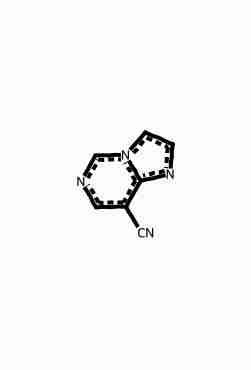 N#Cc1cncn2ccnc12